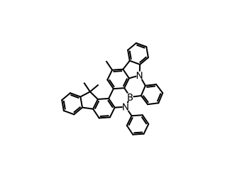 Cc1cc2c3c4c1c1ccccc1n4-c1ccccc1B3N(c1ccccc1)c1ccc3c(c1-2)C(C)(C)c1ccccc1-3